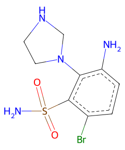 Nc1ccc(Br)c(S(N)(=O)=O)c1N1CCNC1